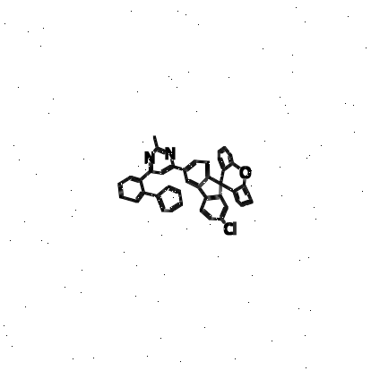 Cc1nc(-c2ccc3c(c2)-c2ccc(Cl)cc2C32c3ccccc3Oc3ccccc32)cc(-c2ccccc2-c2ccccc2)n1